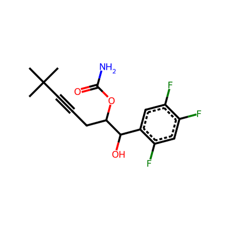 CC(C)(C)C#CCC(OC(N)=O)C(O)c1cc(F)c(F)cc1F